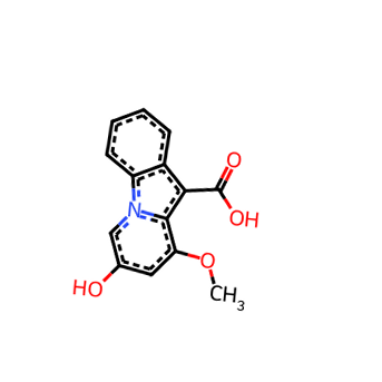 COc1cc(O)cn2c1c(C(=O)O)c1ccccc12